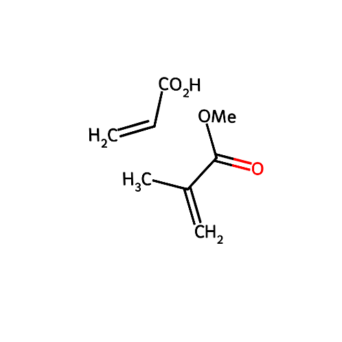 C=C(C)C(=O)OC.C=CC(=O)O